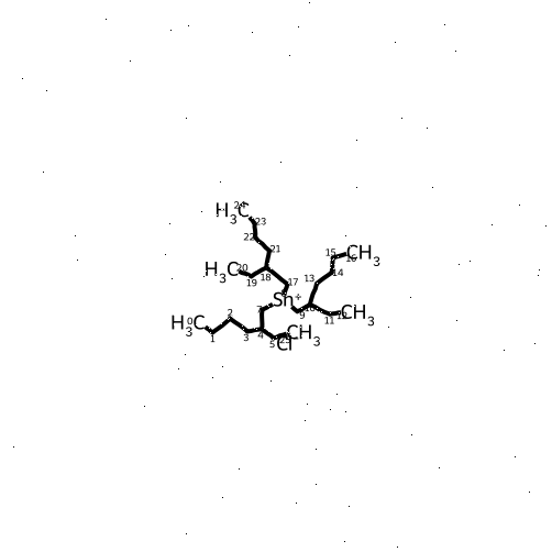 CCCCC(CC)[CH2][Sn+]([CH2]C(CC)CCCC)[CH2]C(CC)CCCC.[Cl-]